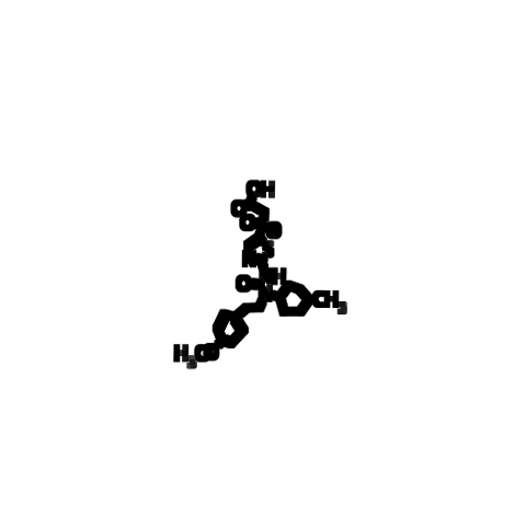 COc1ccc(CCN(C(=O)Nc2ncc(S(=O)(=O)CC(=O)O)s2)C2CCC(C)CC2)cc1